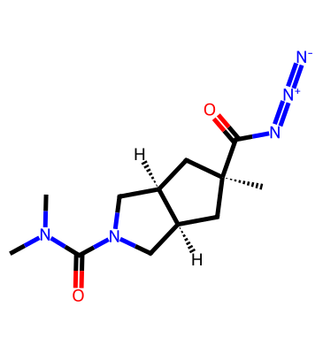 CN(C)C(=O)N1C[C@@H]2C[C@](C)(C(=O)N=[N+]=[N-])C[C@@H]2C1